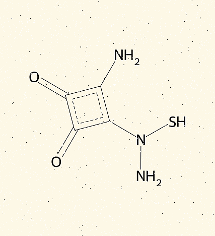 Nc1c(N(N)S)c(=O)c1=O